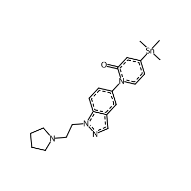 [CH3][Sn]([CH3])([CH3])[c]1ccn(-c2ccc3c(cnn3CCN3CCCC3)c2)c(=O)c1